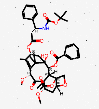 CO[C@H]1C(=O)C2(C)[C@@H](OC)C[C@H]3OC[C@@]3(OC(C)=O)[C@H]2[C@H](OC(=O)c2ccccc2)C2(O)C[C@H](OC(=O)C[C@@H](NC(=O)OC(C)(C)C)c3ccccc3)C(C)=C1C2(C)C